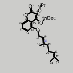 CCCCCCCCCCOc1c(OC(C)C)c(=O)oc2cccc(OC/C=C(\C)CCC=C(C)C)c12